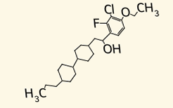 CCCC1CCC(C2CCC(CC(O)c3ccc(OCC)c(Cl)c3F)CC2)CC1